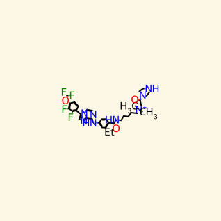 CCc1cc(Nc2nccn3c(-c4ccc(OC(F)F)c(F)c4F)cnc23)ccc1C(=O)NCCCCC[N+](C)(C)CC(=O)N1CCNCC1